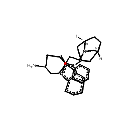 Cc1nc2ccccc2n1C1C[C@H]2CC[C@H](C1)N2CCC1(c2ccccc2)CCC(N)CC1